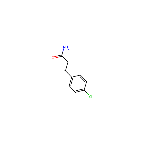 NC(=O)C[CH]c1ccc(Cl)cc1